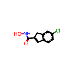 O=C(NO)C1=Cc2ccc(Cl)cc2C1